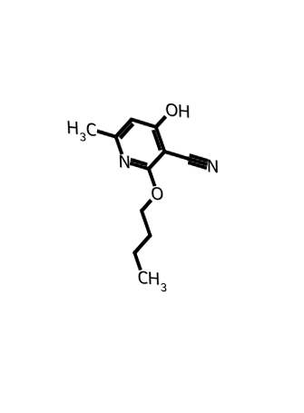 CCCCOc1nc(C)cc(O)c1C#N